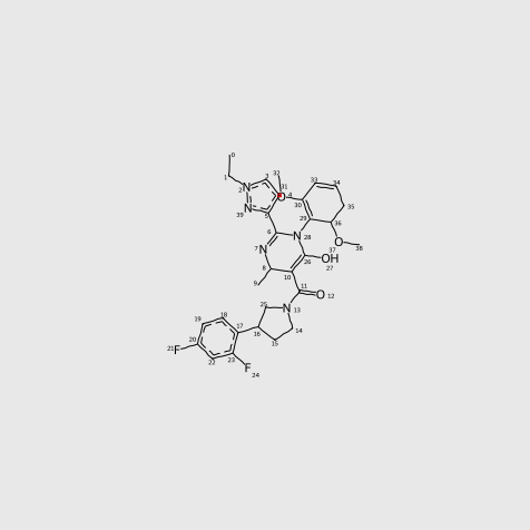 CCn1ccc(C2=NC(C)C(C(=O)N3CCC(c4ccc(F)cc4F)C3)=C(O)N2C2=C(OC)C=CCC2OC)n1